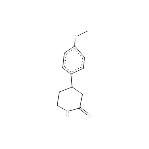 COc1ccc(C2CCNC(=O)C2)cc1